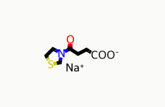 O=C([O-])CCC(=O)N1CCSC1.[Na+]